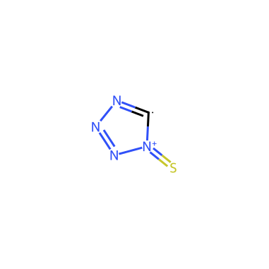 S=[N+]1[C]=NN=N1